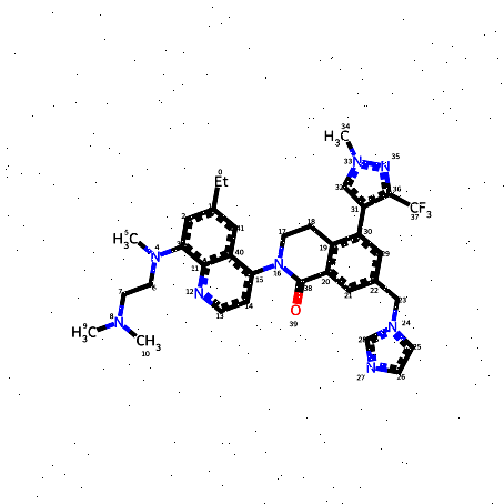 CCc1cc(N(C)CCN(C)C)c2nccc(N3CCc4c(cc(Cn5ccnc5)cc4-c4cn(C)nc4C(F)(F)F)C3=O)c2c1